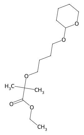 CCOC(=O)C(C)(C)OCCCCOC1CCCCO1